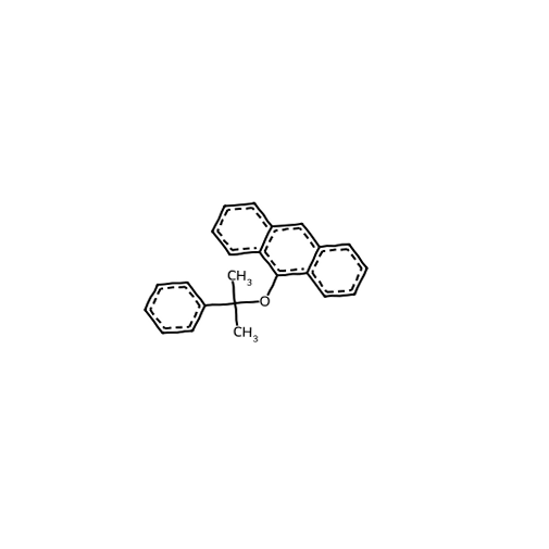 CC(C)(Oc1c2ccccc2cc2ccccc12)c1ccccc1